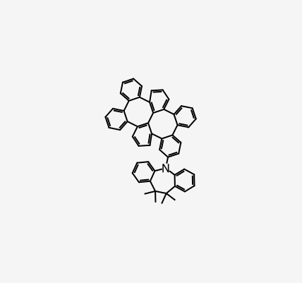 CC1(C)c2ccccc2N(c2ccc3c(c2)c2cccc4c2-c2c(cccc2c2ccccc23)c2ccccc2c2ccccc42)c2ccccc2C1(C)C